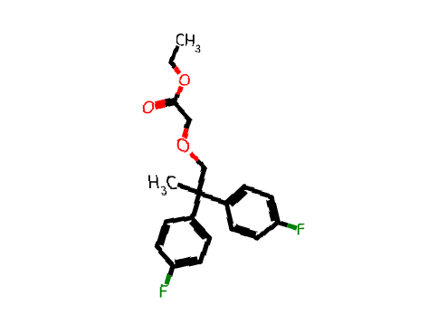 CCOC(=O)COCC(C)(c1ccc(F)cc1)c1ccc(F)cc1